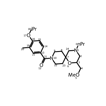 CCCN1CC(COC)OC2(CCN(C(=O)c3ccc(OC(C)C)c(C)c3)CC2)C1